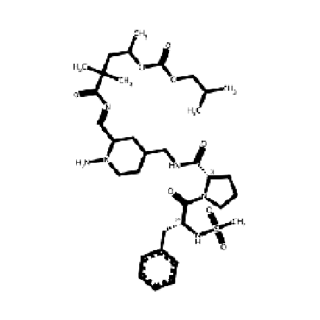 CC(C)COC(=O)OC(C)CC(C)(C)C(=O)N=CC1CC(CNC(=O)[C@@H]2CCCN2C(=O)[C@@H](Cc2ccccc2)NS(C)(=O)=O)CCN1N